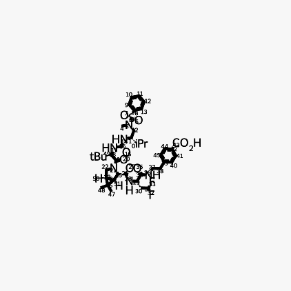 CC(C)[C@@H](CN(C)S(=O)(=O)c1ccccc1)NC(=O)N[C@H](C(=O)N1C[C@H]2[C@@H]([C@H]1C(=O)N[C@@H](CC(F)F)C(=O)NCCc1ccc(C(=O)O)cc1)C2(C)C)C(C)(C)C